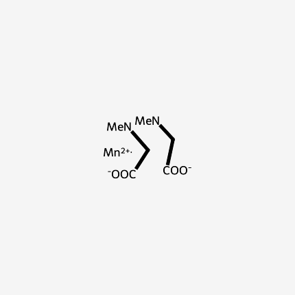 CNCC(=O)[O-].CNCC(=O)[O-].[Mn+2]